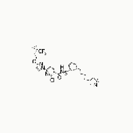 CC1(C)CC(CCCCc2cccc(SNC(=O)c3ccc(-n4ccc(OCCC5(C(F)(F)F)CC5)n4)nc3Cl)c2)CN1